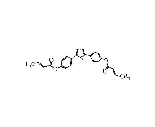 CC=CC(=O)Oc1ccc(-c2cnc(-c3ccc(OC(=O)C=CC)cc3)s2)cc1